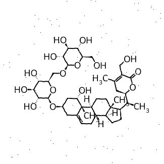 CC1=C(CO)C(=O)O[C@@H]([C@@H](C)[C@H]2CC[C@H]3[C@@H]4CC=C5C[C@@H](O[C@@H]6O[C@H](CO[C@@H]7O[C@H](CO)[C@@H](O)[C@H](O)[C@H]7O)[C@@H](O)[C@H](O)[C@H]6O)C[C@H](O)[C@]5(C)[C@H]4CC[C@]23C)C1